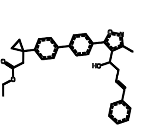 CCOC(=O)CC1(c2ccc(-c3ccc(-c4onc(C)c4C(O)CC=Cc4ccccc4)cc3)cc2)CC1